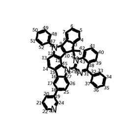 CC1(C)c2ccccc2-c2c1c1c(ccc3c4cc(-c5cccnc5)ccc4n(-c4nc(-c5ccccc5)c5ccccc5n4)c31)n2-c1ccccc1